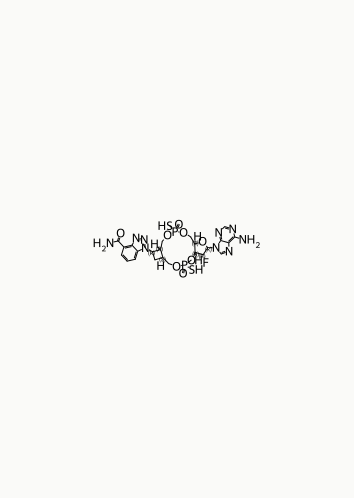 NC(=O)c1cccc2c1nnn2[C@@H]1C[C@@H]2COP(=O)(S)O[C@H]3[C@@H](F)[C@H](n4cnc5c(N)ncnc54)O[C@@H]3COP(=O)(S)OC[C@H]21